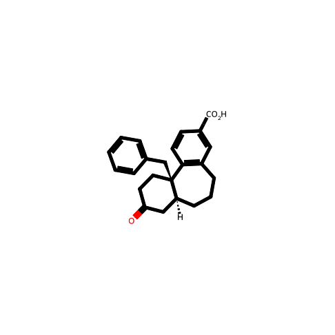 O=C1CC[C@]2(Cc3ccccc3)c3ccc(C(=O)O)cc3CCC[C@H]2C1